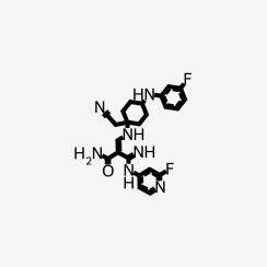 N#CCC1(N/C=C(\C(=N)Nc2ccnc(F)c2)C(N)=O)CCC(Nc2cccc(F)c2)CC1